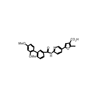 COc1ccc(-c2cccc(C(=O)Nc3ccc(-c4cc(C(=O)O)c(C)o4)cn3)c2)c(OC)c1